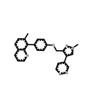 Cc1ccc2cccnc2c1-c1ccc(OCc2nn(C)cc2-c2ccnnc2)cc1